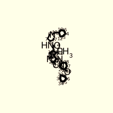 Cc1c(C(=O)NC2CCN(Cc3ccccc3)C2)cn2ncc(C#N)c(Nc3ccc(Oc4ccccc4)cc3)c12